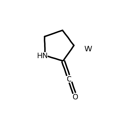 O=C=C1CCCN1.[W]